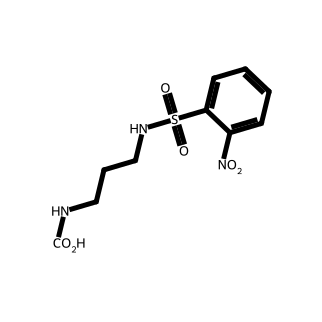 O=C(O)NCCCNS(=O)(=O)c1ccccc1[N+](=O)[O-]